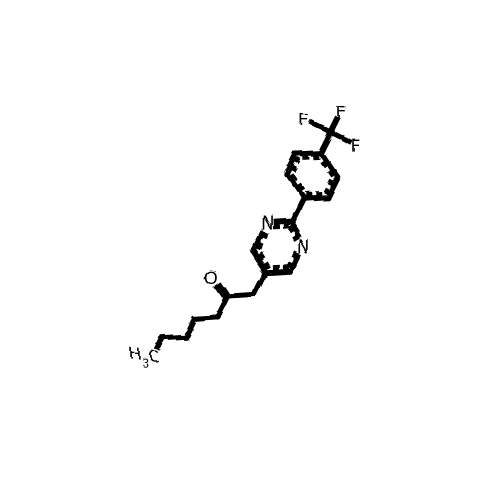 CCCCCC(=O)Cc1cnc(-c2ccc(C(F)(F)F)cc2)nc1